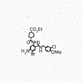 CCOC(=O)[C@H]1CC[C@H](C(=O)Nc2cc(N)c(Br)cc2C(=O)NCc2ccc(OC)c(Cl)c2)CC1